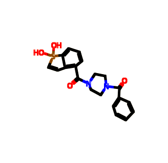 O=C(c1ccccc1)N1CCN(C(=O)c2cccc3c2C=CS3(O)O)CC1